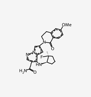 COc1ccc2c(c1)CCN(c1cc3c(N[C@@H]4CCC[C@]4(C)F)c(C(N)=O)cnn3c1)C2=O